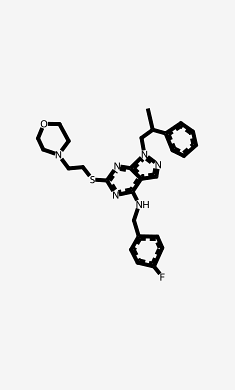 CC(Cn1ncc2c(NCc3ccc(F)cc3)nc(SCCN3CCOCC3)nc21)c1ccccc1